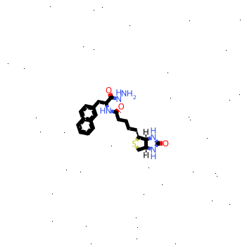 NNC(=O)C(Cc1ccc2ccccc2c1)NC(=O)CCCC[C@@H]1SC[C@@H]2NC(=O)N[C@@H]21